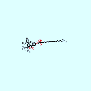 CCCCCCCCCCCCCCCCCC(=O)C(O)COc1ccc(C2C(=O)Oc3c2cc(C(C)(C)C)cc3C(C)(C)C)cc1